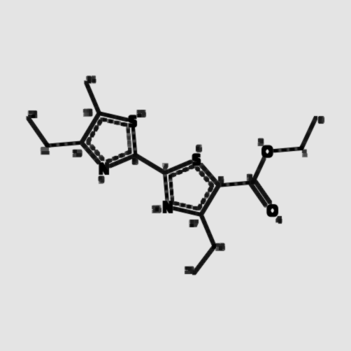 CCOC(=O)c1sc(-c2nc(CC)c(C)s2)nc1CC